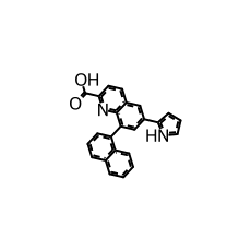 O=C(O)c1ccc2cc(-c3ccc[nH]3)cc(-c3cccc4ccccc34)c2n1